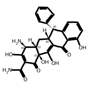 NC(=O)C1=C(O)[C@@H](N)[C@@H]2C[C@H]3C(=C(O)[C@]2(O)C1=O)C(=O)c1c(O)cccc1[C@H]3c1ccccc1